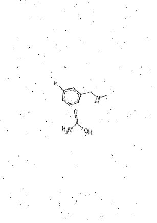 CNCc1cccc(F)c1.NC(=O)O